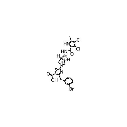 Cc1[nH]c(C(=O)N[C@@H]2[C@@H]3CN(c4nc(Cc5cccc(Br)c5)c(C(=O)O)s4)C[C@@H]32)c(Cl)c1Cl